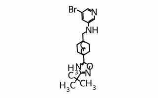 CC(C)(C)c1noc(C23CCC(CNc4cncc(Br)c4)(CC2)CC3)n1